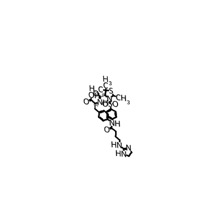 CC1SC(C)(C)[C@@H](C(=O)N[C@@H](Cc2ccc(NC(=O)CCCNC3=NCCN3)cc2)C(=O)O)N1S(=O)(=O)c1ccccc1